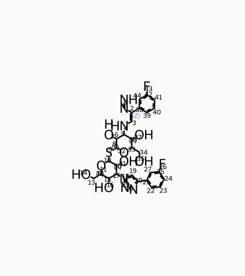 N=N/C(=C\NC1C(O)[C@H](SC2O[C@H](CO)C(O)C(n3cc(-c4cccc(F)c4)nn3)[C@H]2O)OC(CO)[C@@H]1O)c1cccc(F)c1